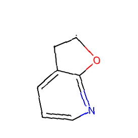 [CH]1Cc2cccnc2O1